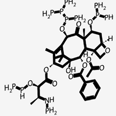 CC(=O)O[C@@]12CO[C@@H]1C[C@H](OP(P)P)[C@@]1(C)C(=O)[C@H](OP(P)P(P)P)C3=C(C)[C@@H](OC(=O)[C@H](OPP)[C@H](C)NP)C[C@@](O)([C@@H](OC(=O)c4ccccc4)[C@H]21)C3(C)C